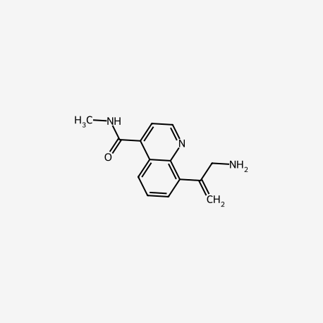 C=C(CN)c1cccc2c(C(=O)NC)ccnc12